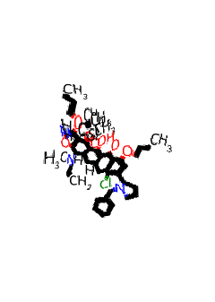 C=CCN(C)[C@@H]1c2onc(OCCCC)c2C(=O)[C@@]2(O[Si](C)(C)C(C)(C)C)C(O)=C3C(=O)c4c(OCCCC)cc(C5CCCN5Cc5ccccc5)c(Cl)c4C[C@H]3C[C@@H]12